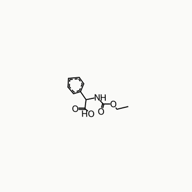 CCOC(=O)NC(C(=O)O)c1ccccc1